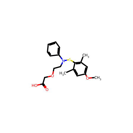 COc1cc(C)c(SN(CCOCC(=O)O)c2ccccc2)c(C)c1